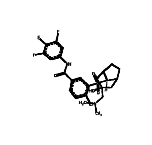 CN(C)C[C@]1(O)CC2CCC(C1)[C@H]2S(=O)(=O)c1cc(C(=O)Nc2cc(F)c(F)c(F)c2)ccc1Cl